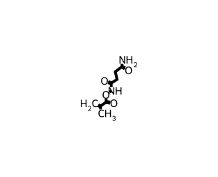 C=C(C)C(=O)ONC(=O)CCC(N)=O